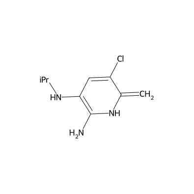 C=C1NC(N)=C(NC(C)C)C=C1Cl